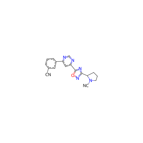 N#Cc1cccc(-c2cc(-c3nc(C4CCCN4C#N)no3)ncn2)c1